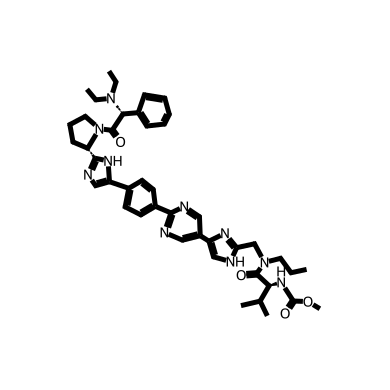 CCCN(Cc1nc(-c2cnc(-c3ccc(-c4cnc([C@@H]5CCCN5C(=O)[C@@H](c5ccccc5)N(CC)CC)[nH]4)cc3)nc2)c[nH]1)C(=O)[C@@H](NC(=O)OC)C(C)C